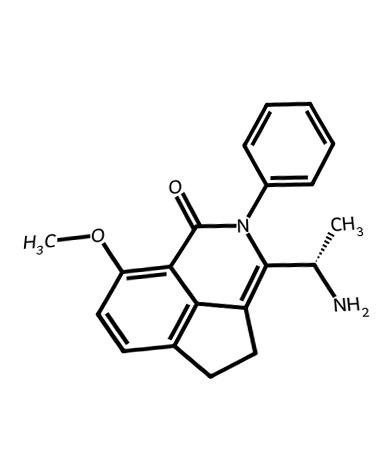 COc1ccc2c3c(c([C@H](C)N)n(-c4ccccc4)c(=O)c13)CC2